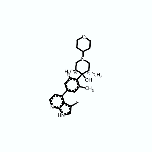 Cc1cc(-c2ccnc3[nH]cc(F)c23)cc(F)c1C1(O)[C@H](C)CN(C2CCOCC2)C[C@@H]1C